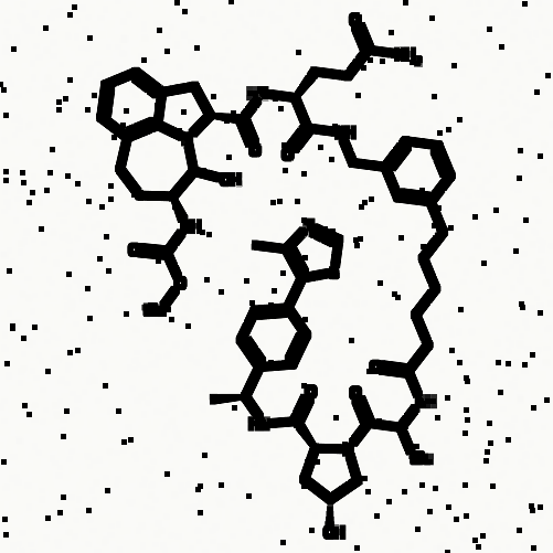 Cc1ncsc1-c1ccc([C@H](C)NC(=O)[C@@H]2C[C@@H](O)CN2C(=O)C(NC(=O)CCCCCc2cccc(CNC(=O)[C@H](CCC(N)=O)NC(=O)[C@@H]3Cc4cccc5c4N3C(O)[C@@H](NC(=O)OC(C)(C)C)CC5)c2)C(C)(C)C)cc1